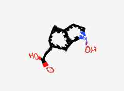 O=C(O)c1ccc2ccn(O)c2c1